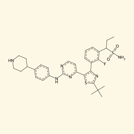 CCC(c1cccc(-c2nc(C(C)(C)C)sc2-c2ccnc(Nc3ccc(C4CCNCC4)cc3)n2)c1F)S(N)(=O)=O